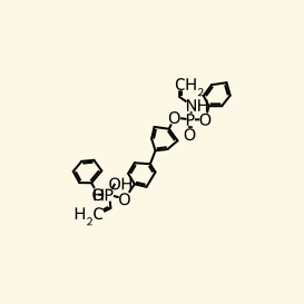 C=CNP(=O)(Oc1ccccc1)Oc1ccc(-c2ccc(O[PH](O)(C=C)Oc3ccccc3)cc2)cc1